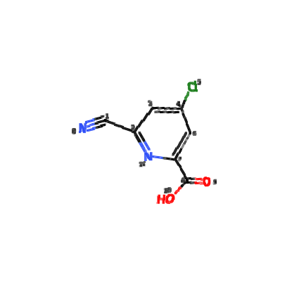 N#Cc1cc(Cl)cc(C(=O)O)n1